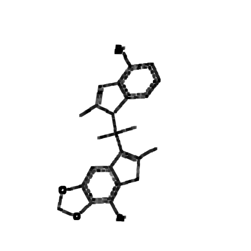 CC1=Cc2c(Br)cccc2C1C(C)(C)C1=C(C)Cc2c1cc1c(c2Br)OCO1